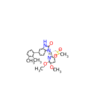 CCOc1nc([C@@H](CS(C)(=O)=O)n2c(=O)[nH]c3cc(-c4cccc(C)c4C)ccc32)ccc1OC